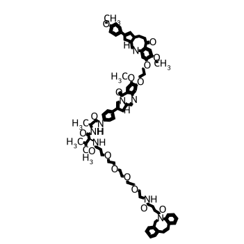 COc1ccc(C2=CC3CCC(=O)c4cc(OC)c(OCCCOc5cc6c(cc5OC)C(=O)N5C=C(c7ccc(NC(=O)[C@H](C)NC(=O)[C@@H](NC(=O)CCOCCOCCOCCOCCNC(=O)CCC(=O)N8Cc9ccccc9/C=C\c9ccccc98)C(C)C)cc7)C[C@H]5C=N6)cc4/N=C\[C@@H]3C2)cc1